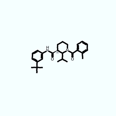 Cc1ccccc1C(=O)N1CCC[C@H](C(=O)Nc2cccc(C(C)(C)C)c2)C1C(C)C